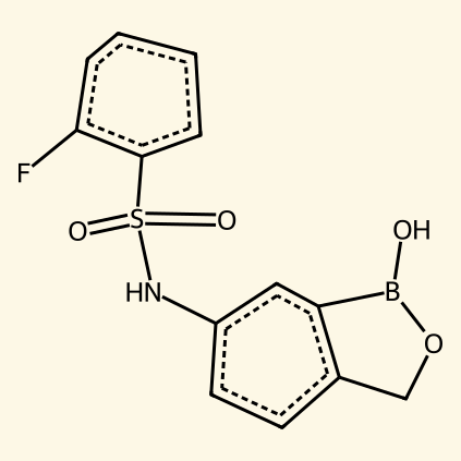 O=S(=O)(Nc1ccc2c(c1)B(O)OC2)c1ccccc1F